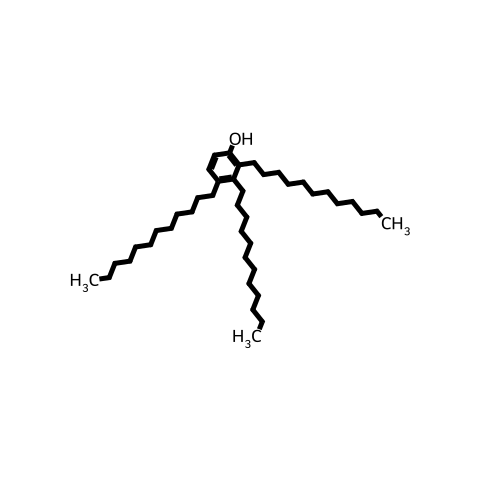 CCCCCCCCCCCCc1ccc(O)c(CCCCCCCCCCCC)c1CCCCCCCCCCCC